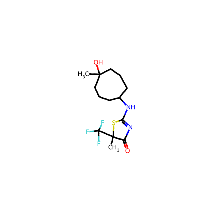 CC1(O)CCCC(NC2=NC(=O)C(C)(C(F)(F)F)S2)CCC1